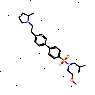 COCCN(CC(C)C)S(=O)(=O)c1ccc(-c2ccc(CCN3CCCC3C)cc2)cc1